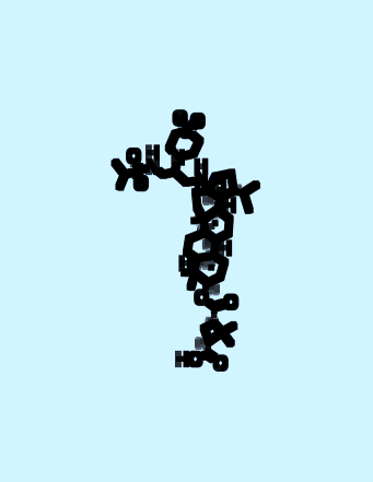 CC(C)[C@@H]1CC[C@]2(NCC(CNS(=O)(=O)C(C)C)N3CCS(=O)(=O)CC3)CC[C@]3(C)[C@H](CC[C@@H]4[C@@]5(C)CC[C@H](OC(=O)[C@H]6C[C@@H](C(=O)O)C6(C)C)C(C)(C)[C@@H]5CC[C@]43C)[C@@H]12